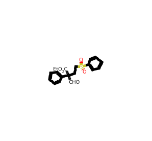 CCOC(=O)C(C=O)(CCS(=O)(=O)c1ccccc1)c1ccccc1